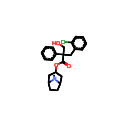 CN1C2CCC1CC(OC(=O)C(CO)(Cc1ccccc1Cl)c1ccccc1)C2